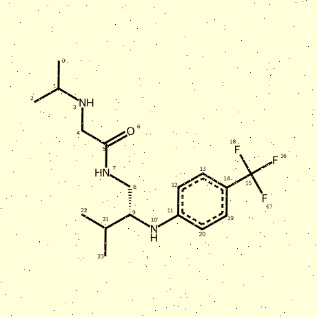 CC(C)NCC(=O)NC[C@H](Nc1ccc(C(F)(F)F)cc1)C(C)C